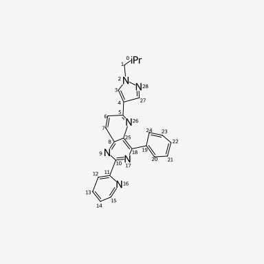 CC(C)Cn1cc(-c2ccc3nc(-c4ccccn4)nc(-c4ccccc4)c3n2)cn1